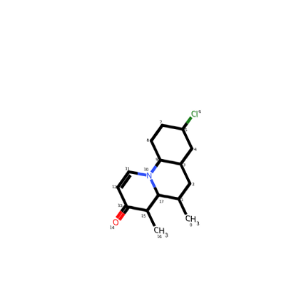 CC1CC2CC(Cl)CCC2N2C=CC(=O)C(C)C12